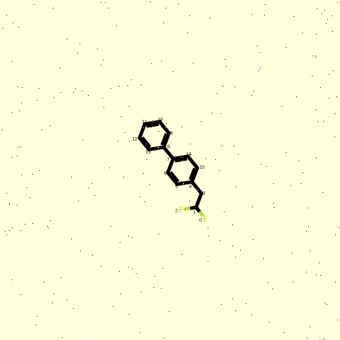 FC(F)Cc1ccc(-c2ccccc2)cc1